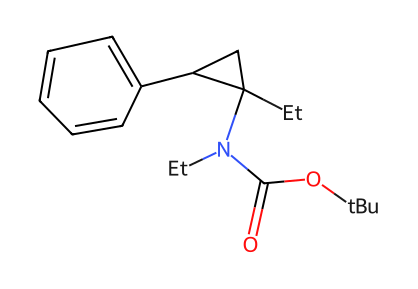 CCN(C(=O)OC(C)(C)C)C1(CC)CC1c1ccccc1